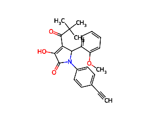 C#Cc1ccc(N2C(=O)C(O)=C(C(=O)C(C)(C)C)C2c2ccccc2OC)cc1